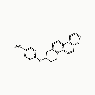 COc1ccc(OC2CCc3c(ccc4c3ccc3ccccc34)C2)cc1